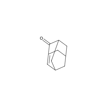 O=C1C2=CC3CC(C2)CC1C3